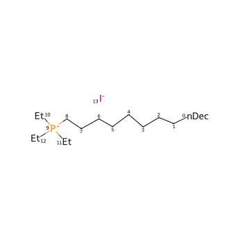 CCCCCCCCCCCCCCCCCC[P+](CC)(CC)CC.[I-]